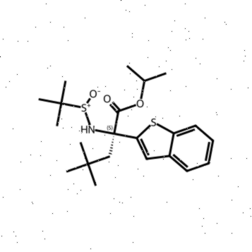 CC(C)OC(=O)[C@](CC(C)(C)C)(N[S+]([O-])C(C)(C)C)c1cc2ccccc2s1